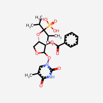 Cc1cn(OC2OC[C@H](OC(C(C)C)(C(C)C)P(=O)(O)O)[C@H]2OC(=O)c2ccccc2)c(=O)[nH]c1=O